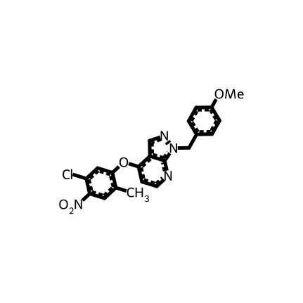 COc1ccc(Cn2ncc3c(Oc4cc(Cl)c([N+](=O)[O-])cc4C)ccnc32)cc1